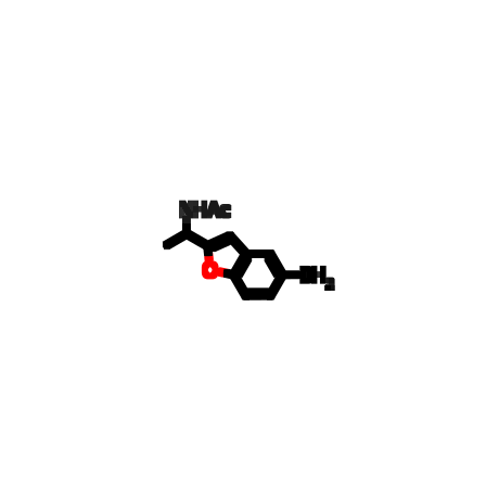 Bc1ccc2oc(C(C)NC(C)=O)cc2c1